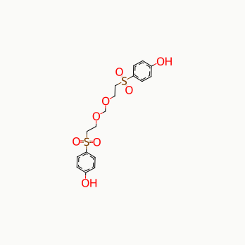 O=S(=O)(CCOCOCCS(=O)(=O)c1ccc(O)cc1)c1ccc(O)cc1